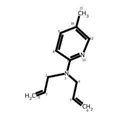 C=CCN(CC=C)c1ccc(C)cn1